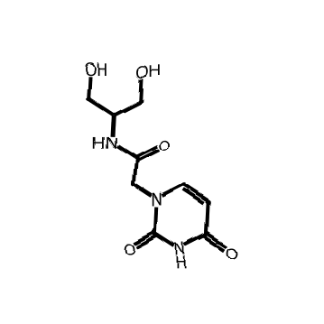 O=C(Cn1ccc(=O)[nH]c1=O)NC(CO)CO